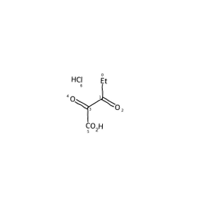 CCC(=O)C(=O)C(=O)O.Cl